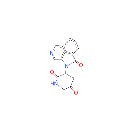 O=C1CNC(=O)C(N2C(=O)c3cccc4cncc2c34)C1